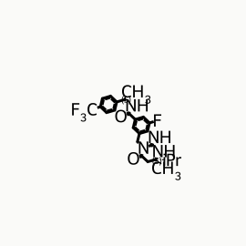 CC(C)[C@]1(C)CC(=O)N(Cc2cc(F)cc(C(=O)N[C@@H](C)c3ccc(C(F)(F)F)cc3)c2)C(=N)N1